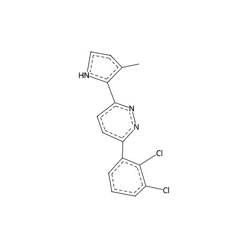 Cc1cc[nH]c1-c1ccc(-c2cccc(Cl)c2Cl)nn1